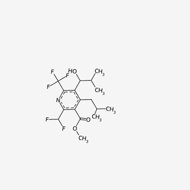 COC(=O)c1c(C(F)F)nc(C(F)(F)F)c(C(O)C(C)C)c1CC(C)C